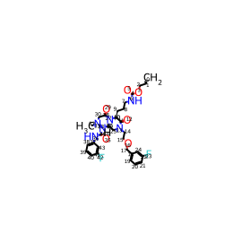 C=CCOC(=O)NCCC[C@H]1C(=O)N(CCOCc2cccc(F)c2)C[C@H]2N1C(=O)CN(C)N2C(=O)Nc1cccc(F)c1